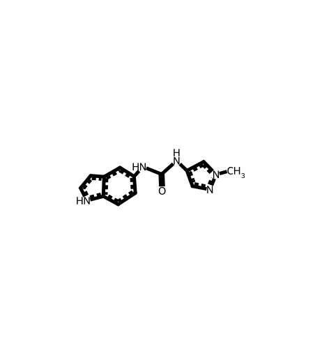 Cn1cc(NC(=O)Nc2ccc3[nH]ccc3c2)cn1